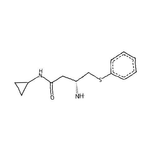 [NH][C@@H](CSc1ccccc1)CC(=O)NC1CC1